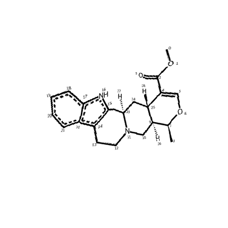 COC(=O)C1=CO[C@@H](C)[C@H]2CN3CCc4c([nH]c5ccccc45)[C@H]3C[C@H]12